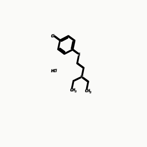 CCN(CC)CCSc1ccc(Cl)cc1.Cl